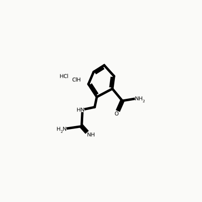 Cl.Cl.N=C(N)NCc1ccccc1C(N)=O